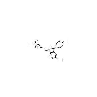 CN1CCN(c2nn(COCC[Si](C)(C)C)c3ncc(C=O)cc23)CC1